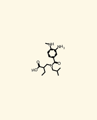 CCC(CN(CC(C)C)C(=O)c1ccc(NC)c(N)c1)C(=O)O